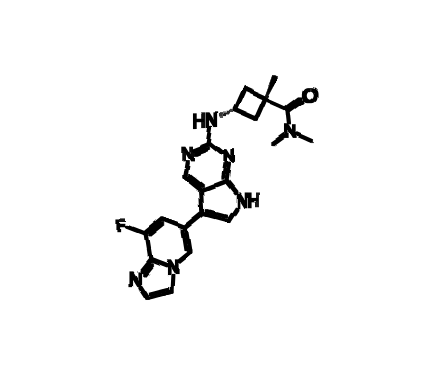 CN(C)C(=O)[C@]1(C)C[C@H](Nc2ncc3c(-c4cc(F)c5nccn5c4)c[nH]c3n2)C1